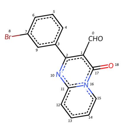 O=Cc1c(-c2cccc(Br)c2)nc2ccccn2c1=O